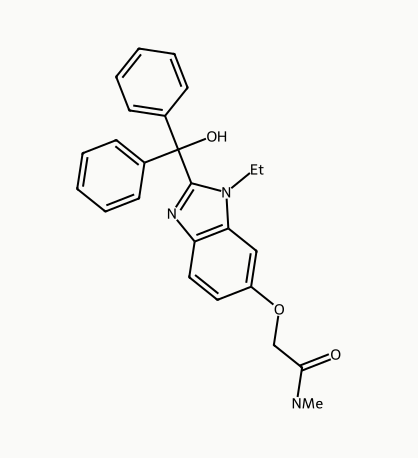 CCn1c(C(O)(c2ccccc2)c2ccccc2)nc2ccc(OCC(=O)NC)cc21